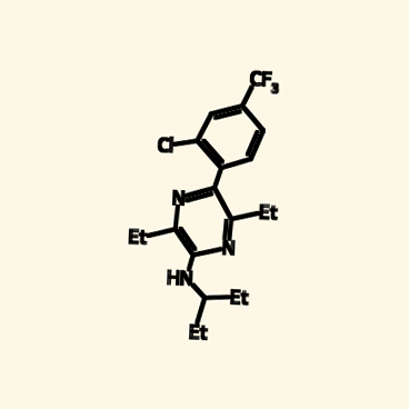 CCc1nc(-c2ccc(C(F)(F)F)cc2Cl)c(CC)nc1NC(CC)CC